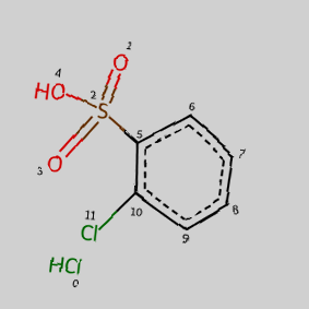 Cl.O=S(=O)(O)c1ccccc1Cl